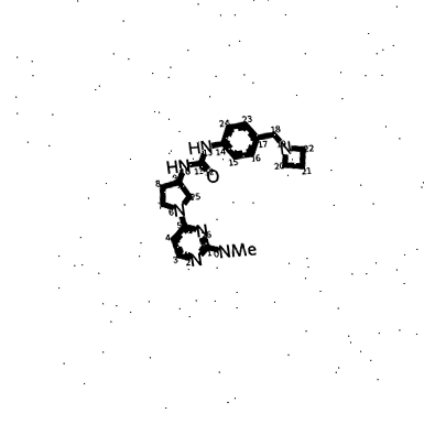 CNc1nccc(N2CCC(NC(=O)Nc3ccc(CN4CCC4)cc3)C2)n1